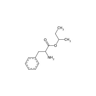 CCC(C)OC(=O)C(N)Cc1ccccc1